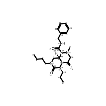 CCCCN1C[C@H]2N(C(=O)CN(C)N2C(=O)NCc2ccccc2)[C@@H](CCC)C1=O